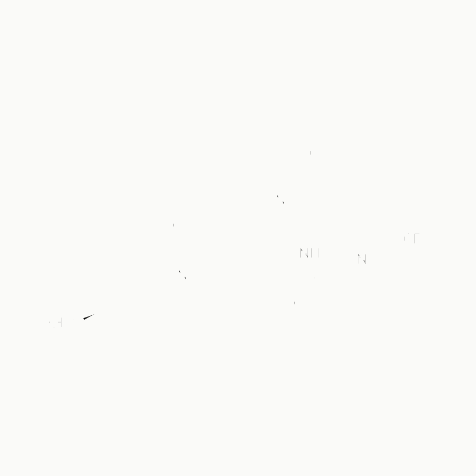 O=C[C@H]1CC[C@H](N2Cc3cc(NC(=O)c4cccc(C(F)(F)F)n4)c(N4CCOCC4)cc3C2=O)CC1